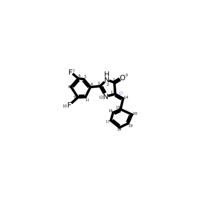 O=C1NC(c2cc(F)cc(F)c2)=N/C1=C\c1ccccc1